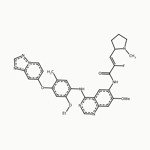 CCOc1cc(Oc2ccn3ncnc3c2)c(C)cc1Nc1ncnc2cc(OC)c(NC(=O)C(F)=CC3CCCN3C)cc12